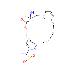 CN(c1cc2cc(n1)CCCCCc1cccc(c1)CC(C)(N)C(=O)OC2)S(C)(=O)=O